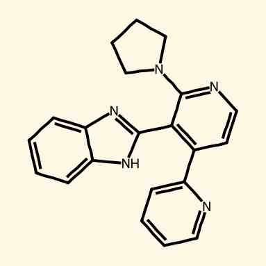 c1ccc(-c2ccnc(N3CCCC3)c2-c2nc3ccccc3[nH]2)nc1